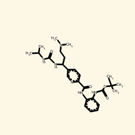 CC(C)NC(=O)NC(CCN(C)C)c1ccc(C(=O)Nc2ccccc2NC(=O)OC(C)(C)C)nc1